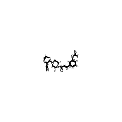 C[C@@H]1CN(c2nccnc2C#N)CCN1C(=O)C=Cc1cccc(OC(F)F)c1